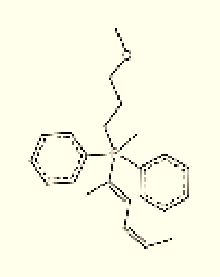 C/C=C\C=C(/C)P(C)(CCCOC)(c1ccccc1)c1ccccc1